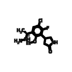 CCOc1c([C@H](C)NN)cc(Cl)c(F)c1C1CNC(=O)C1